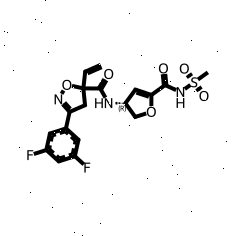 C=CC1(C(=O)N[C@@H]2C=C(C(=O)NS(C)(=O)=O)OC2)CC(c2cc(F)cc(F)c2)=NO1